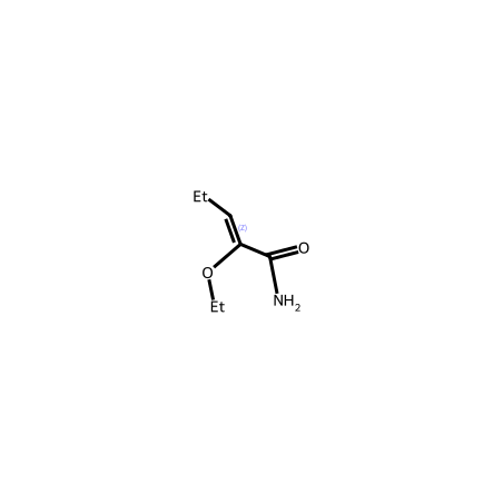 CC/C=C(\OCC)C(N)=O